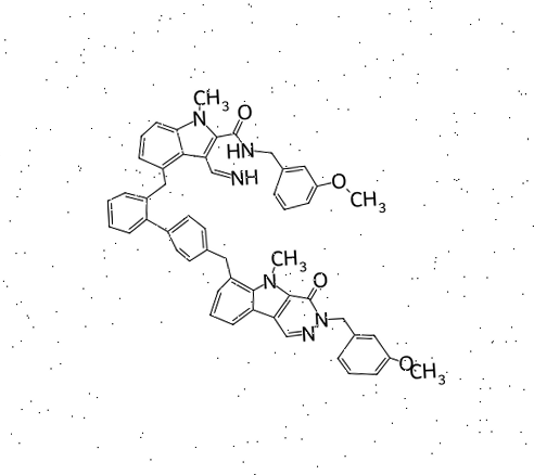 COc1cccc(CNC(=O)c2c(C=N)c3c(Cc4ccccc4-c4ccc(Cc5cccc6c7cnn(Cc8cccc(OC)c8)c(=O)c7n(C)c56)cc4)cccc3n2C)c1